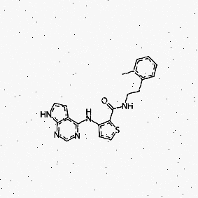 Cc1ccccc1CCNC(=O)c1sccc1Nc1ncnc2[nH]ccc12